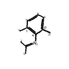 CC(C)=Nc1c(C)cccc1C